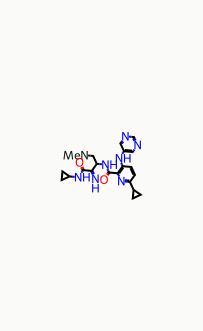 CNCC(NC(=O)c1nc(C2CC2)ccc1Nc1cncnc1)C(=N)C(=O)NC1CC1